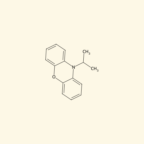 CC(C)N1c2ccccc2Oc2ccccc21